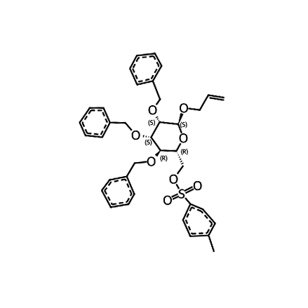 C=CCO[C@H]1O[C@H](COS(=O)(=O)c2ccc(C)cc2)[C@@H](OCc2ccccc2)[C@H](OCc2ccccc2)[C@@H]1OCc1ccccc1